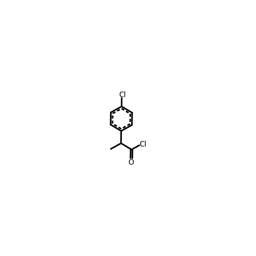 CC(C(=O)Cl)c1ccc(Cl)cc1